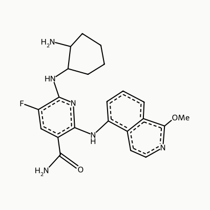 COc1nccc2c(Nc3nc(NC4CCCCC4N)c(F)cc3C(N)=O)cccc12